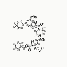 CC1(C)CCC(c2cc(C(C)(C)C)c3oc(C(=O)N4CCN(C(=O)CC[C@H](NC(=O)OCc5ccccc5)C(=O)O)CC4(C)C)cc3n2)CC1